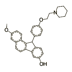 COc1ccc2c3c(ccc2c1)-c1cc(O)ccc1C3c1ccc(OCCN2CCCCC2)cc1